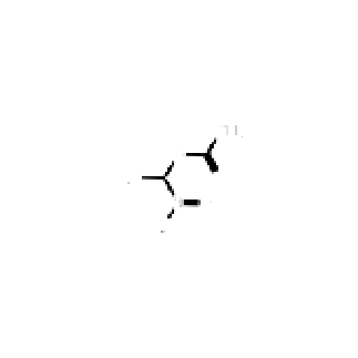 CC(=O)OC(C)[N+](=O)[O-]